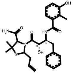 C=CCC1SC(C)(C)C(C(N)=O)N1C(=O)[C@@H](O)[C@H](Cc1ccccc1)NC(=O)c1cccc(O)c1C